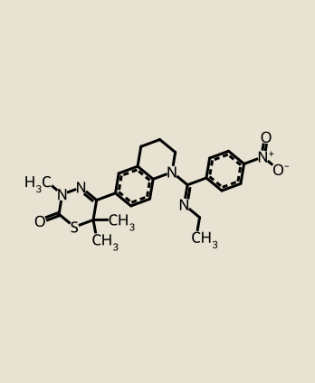 CCN=C(c1ccc([N+](=O)[O-])cc1)N1CCCc2cc(C3=NN(C)C(=O)SC3(C)C)ccc21